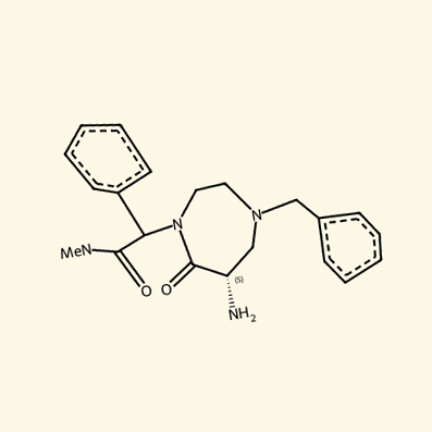 CNC(=O)C(c1ccccc1)N1CCN(Cc2ccccc2)C[C@H](N)C1=O